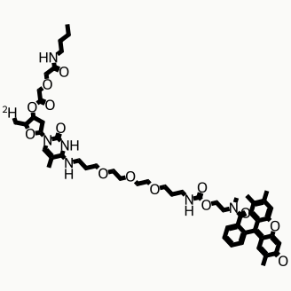 [2H]CC1OC(N2C=C(C)C(NCCCOCCOCCOCCCNC(=O)OCCN(C)C(=O)c3ccccc3-c3c4cc(C)c(=O)cc-4oc4cc(C)c(C)cc34)NC2=O)CC1OC(=O)COCC(=O)NCCCC